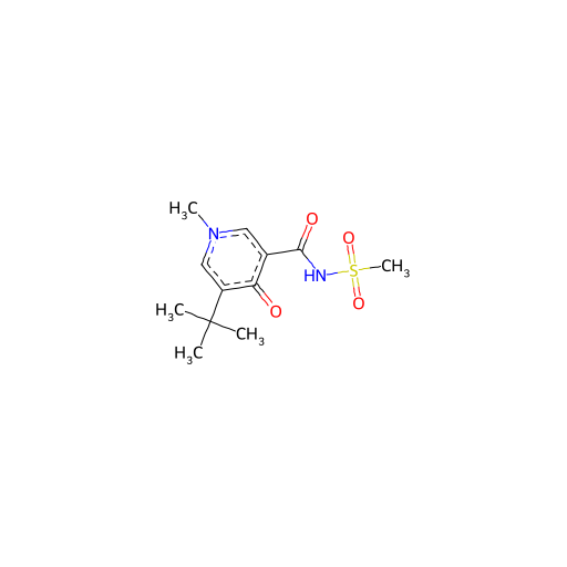 Cn1cc(C(=O)NS(C)(=O)=O)c(=O)c(C(C)(C)C)c1